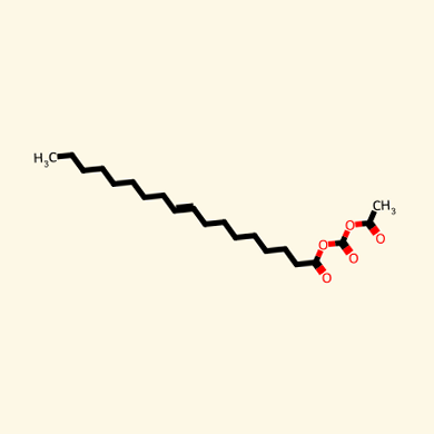 CCCCCCCCC=CCCCCCCCC(=O)OC(=O)OC(C)=O